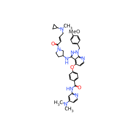 COc1ccc(Cn2nc(NC3CCN(C(=O)C=CCN(C)C4CC4)C3)c3c(Oc4ccc(C(=O)Nc5cc(N(C)C)ccn5)cc4)ccnc32)cc1